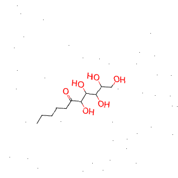 CCCCCC(=O)C(O)C(O)C(O)C(O)CO